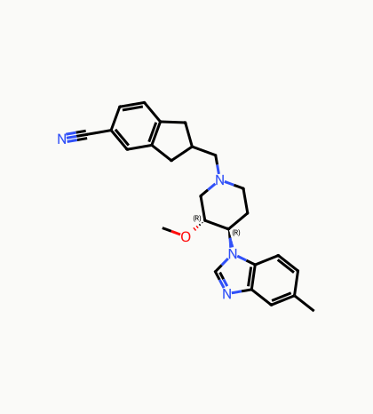 CO[C@@H]1CN(CC2Cc3ccc(C#N)cc3C2)CC[C@H]1n1cnc2cc(C)ccc21